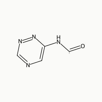 O=[C]Nc1cncnn1